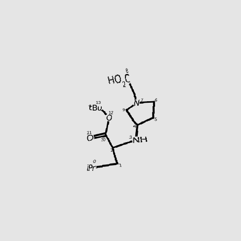 CC(C)CC(NC1CCN(C(=O)O)C1)C(=O)OC(C)(C)C